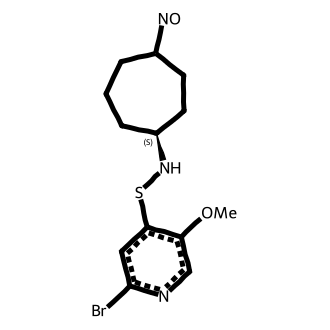 COc1cnc(Br)cc1SN[C@H]1CCCC(N=O)CC1